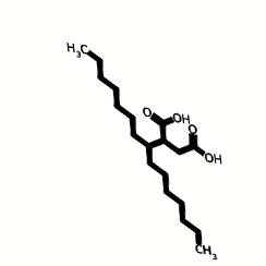 CCCCCCCC(CCCCCCC)C(CC(=O)O)C(=O)O